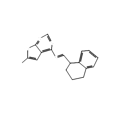 FC(F)(F)c1cc2c(/N=C/C3CCCc4ccccc43)ncnc2[nH]1